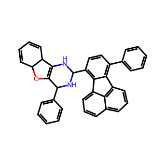 C1=CC2OC3=C(NC(c4ccc(-c5ccccc5)c5c4-c4cccc6cccc-5c46)NC3c3ccccc3)C2C=C1